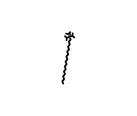 CCCCCCCCCCCCCCCCCCC[PH](C(C)C)(C(C)C)C(C)C